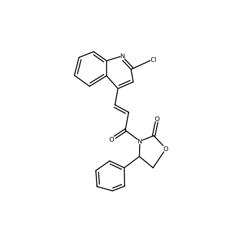 O=C(C=Cc1cc(Cl)nc2ccccc12)N1C(=O)OCC1c1ccccc1